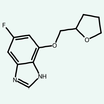 Fc1cc(OCC2CCCO2)c2[nH][c]nc2c1